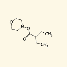 CCC(CC)C(=O)ON1CCOCC1